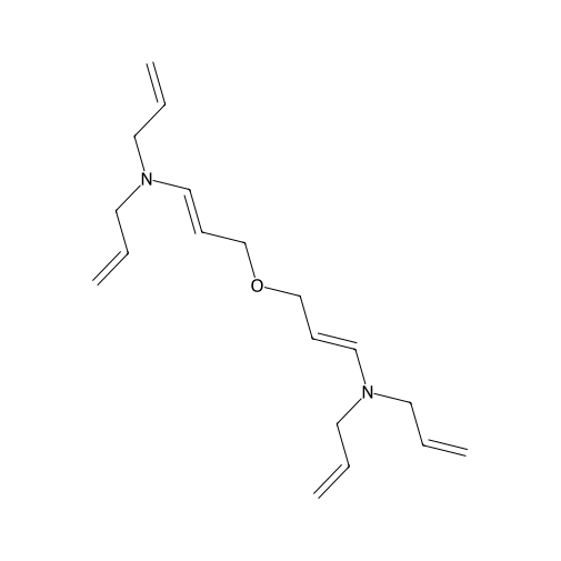 C=CCN(C=CCOCC=CN(CC=C)CC=C)CC=C